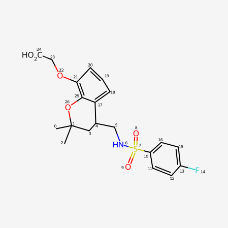 CC1(C)CC(CNS(=O)(=O)c2ccc(F)cc2)c2cccc(OCC(=O)O)c2O1